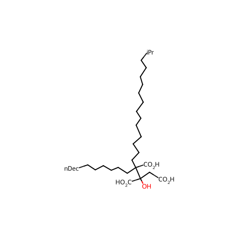 CCCCCCCCCCCCCCCCC(CCCCCCCCCCCCCC(C)C)(C(=O)O)C(O)(CC(=O)O)C(=O)O